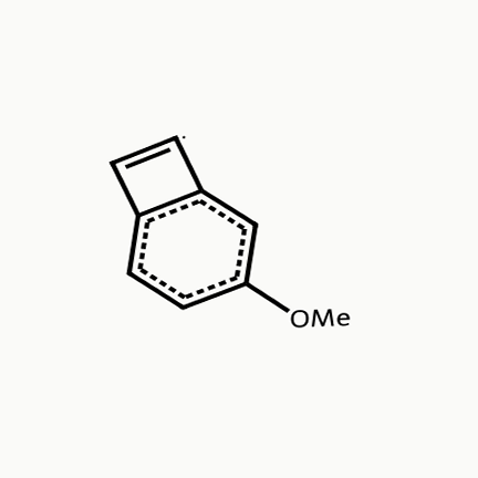 COc1ccc2c(c1)[C]=C2